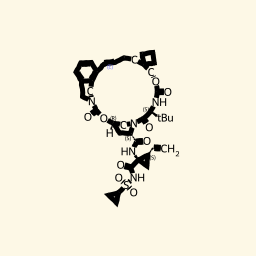 C=C[C@@H]1C[C@]1(NC(=O)[C@@H]1C[C@@H]2CN1C(=O)[C@H](C(C)(C)C)NC(=O)OCC1(CC/C=C/c3cccc4c3CN(C4)C(=O)O2)CCC1)C(=O)NS(=O)(=O)C1CC1